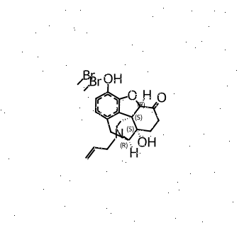 C=CCN1CC[C@]23c4c5ccc(O)c4O[C@H]2C(=O)CC[C@@]3(O)[C@H]1C5.CBr.CBr